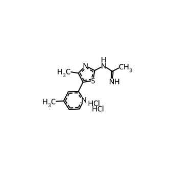 CC(=N)Nc1nc(C)c(-c2cc(C)ccn2)s1.Cl.Cl